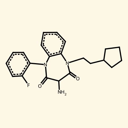 NC1C(=O)N(CCC2CCCC2)c2ccccc2N(c2ccccc2F)C1=O